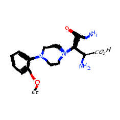 CCOc1ccccc1N1CCN(C(C(N)=O)[C@H](N)C(=O)O)CC1